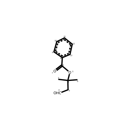 CC(C)(CC=O)OC(=O)c1ccccc1